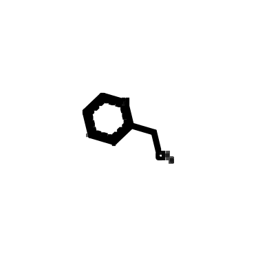 CCc1[c][c]ccn1